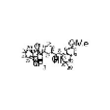 COc1ccc2c(c1)C(=CC(=O)c1cccc(NC(=O)c3ccccc3OC(F)(F)F)c1)NC(C)(C)C2